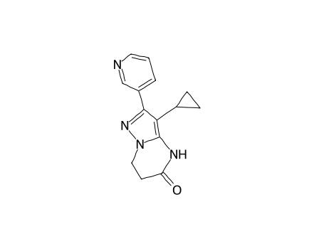 O=C1CCn2nc(-c3cccnc3)c(C3CC3)c2N1